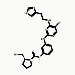 O=C(Nc1cccc(Nc2ncc(Br)c(NCCc3c[nH]cn3)n2)c1)N1CCC[C@H]1CO